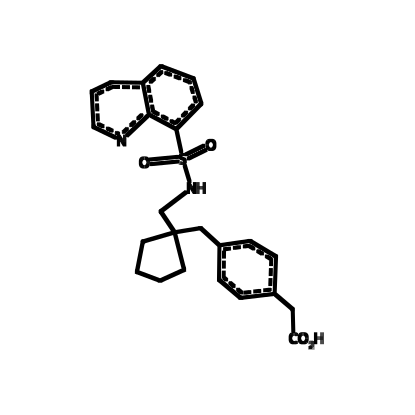 O=C(O)Cc1ccc(CC2(CNS(=O)(=O)c3cccc4cccnc34)CCCC2)cc1